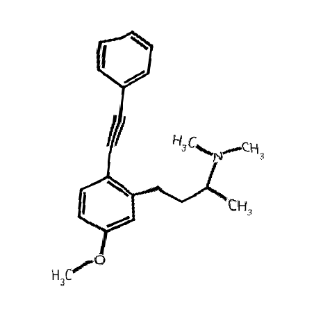 COc1ccc(C#Cc2ccccc2)c(CCC(C)N(C)C)c1